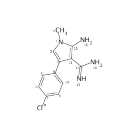 Cn1cc(-c2ccc(Cl)cc2)c(C(=N)N)c1N